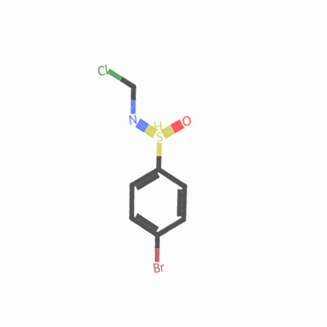 O=[SH](=N\CCl)/c1ccc(Br)cc1